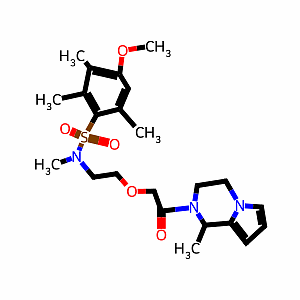 COc1cc(C)c(S(=O)(=O)N(C)CCOCC(=O)N2CCn3cccc3C2C)c(C)c1C